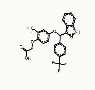 Cc1cc(OC(c2ccc(C(F)(F)F)cc2)c2n[nH]c3ccccc23)ccc1OCC(=O)O